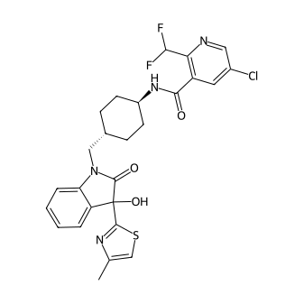 Cc1csc(C2(O)C(=O)N(C[C@H]3CC[C@H](NC(=O)c4cc(Cl)cnc4C(F)F)CC3)c3ccccc32)n1